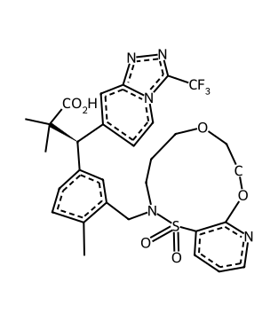 Cc1ccc([C@H](c2ccn3c(C(F)(F)F)nnc3c2)C(C)(C)C(=O)O)cc1CN1CCCOCCOc2ncccc2S1(=O)=O